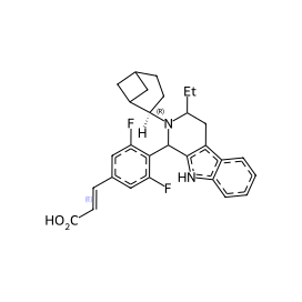 CCC1Cc2c([nH]c3ccccc23)C(c2c(F)cc(/C=C/C(=O)O)cc2F)N1[C@@H]1CCC2CC1C2